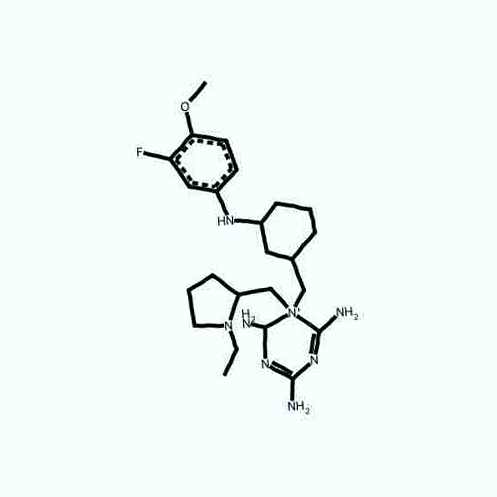 CCN1CCCC1C[N+]1(CC2CCCC(Nc3ccc(OC)c(F)c3)C2)C(N)=NC(N)=NC1N